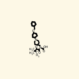 CC(C)(C)C1OC2(CCN(c3ccc(OCc4ccccc4)cc3)CC2)CN(C(=O)O)C1=O